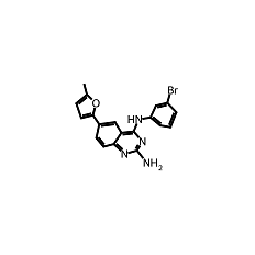 Cc1ccc(-c2ccc3nc(N)nc(Nc4cccc(Br)c4)c3c2)o1